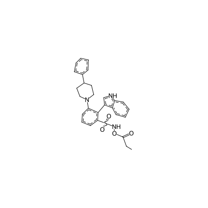 CCC(=O)ONS(=O)(=O)c1cccc(N2CCC(c3ccccc3)CC2)c1-c1c[nH]c2ccccc12